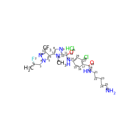 C=C(F)Cn1cc(-c2cnc(C(=O)Nc3ccc(C(=O)NCCCCCN)c(Cl)c3)n2C)c(C(F)(F)F)n1.Cl